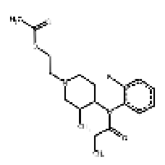 CCC(=O)N(c1ccccc1F)C1CCN(CCOC(C)=O)CC1C